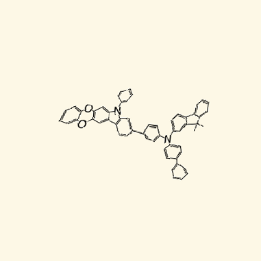 CC1(C)c2ccccc2-c2ccc(N(c3ccc(-c4ccccc4)cc3)c3ccc(-c4ccc5c6cc7c(cc6n(-c6ccccc6)c5c4)Oc4ccccc4O7)cc3)cc21